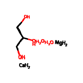 O.O.OCC(O)CO.[CaH2].[MgH2]